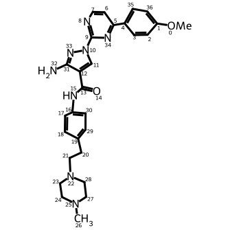 COc1ccc(-c2ccnc(-n3cc(C(=O)Nc4ccc(CCN5CCN(C)CC5)cc4)c(N)n3)n2)cc1